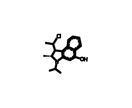 CC(Cl)C1c2c(cc(O)c3ccccc23)N(C(C)C)[C@@H]1C